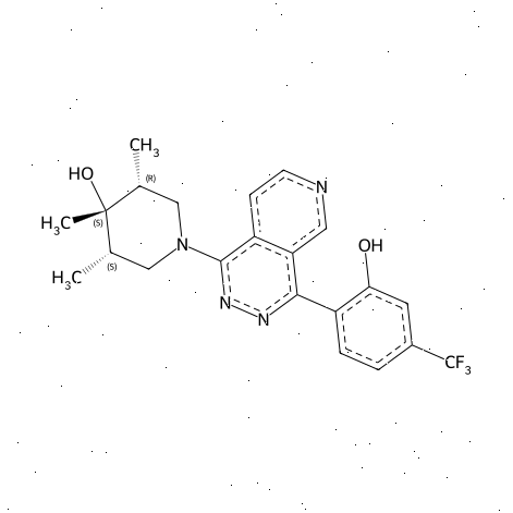 C[C@@H]1CN(c2nnc(-c3ccc(C(F)(F)F)cc3O)c3cnccc23)C[C@H](C)[C@]1(C)O